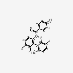 Cc1ccc(O)c(-c2c(OC(=O)c3ccc(Cl)cc3)ccc(C)c2C)c1C